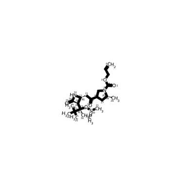 C=CCOC(=O)N1CC(C(=O)C[C@H]2NC(=O)[C@@H]2[C@@](C)(O[SiH](C)C)C(C)(C)C)C[C@H]1C